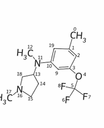 Cc1cc(OC(F)(F)F)cc(N(C)C2CCN(C)C2)c1